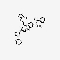 CN(C(=O)c1ccccc1)c1ccc2c(c1)nc(NC(=O)c1cccc(-c3ccncc3)c1)n2CCCN1CCCC1=O